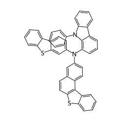 c1ccc(-n2c3ccccc3c3cccc(N(c4ccc5c(ccc6sc7ccccc7c65)c4)c4ccc5c(c4)sc4ccccc45)c32)cc1